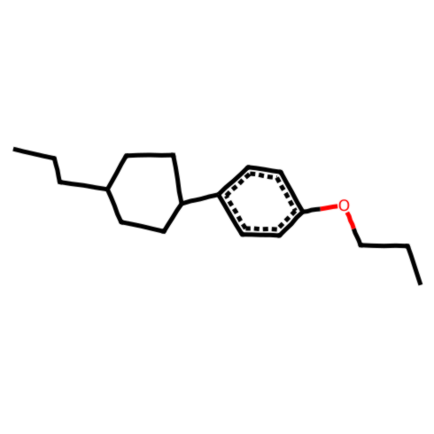 CCCOc1ccc(C2CCC(CCC)CC2)cc1